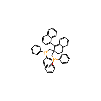 C1=c2ccccc2=C(c2cccc3ccccc23)C(CP(c2ccccc2)c2ccccc2)(CP(c2ccccc2)c2ccccc2)C1